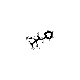 CCC(=O)C(SC(C)C)(SC(C)C)C(=O)Nc1ccccc1